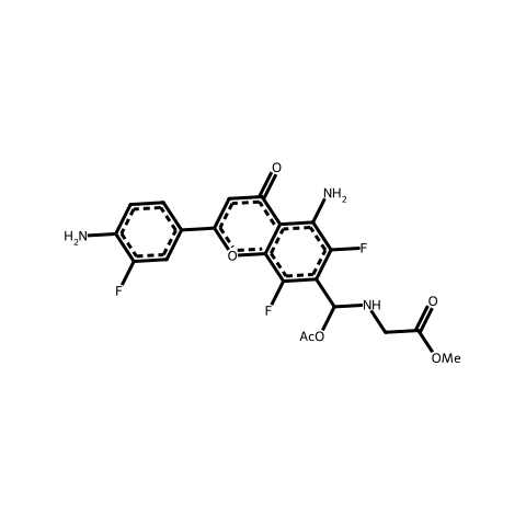 COC(=O)CNC(OC(C)=O)c1c(F)c(N)c2c(=O)cc(-c3ccc(N)c(F)c3)oc2c1F